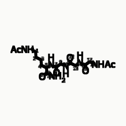 CC(=O)NCCCCC(NC(=O)CNC(=O)CNC(=O)CNC(C)=O)C(N)=O